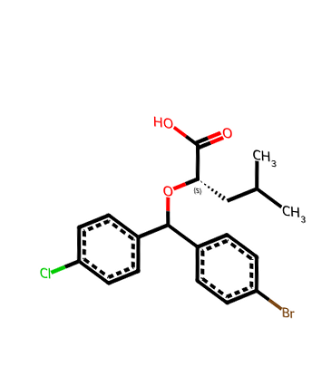 CC(C)C[C@H](OC(c1ccc(Cl)cc1)c1ccc(Br)cc1)C(=O)O